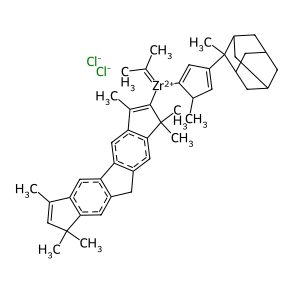 CC1=CC(C)(C)c2cc3c(cc21)-c1cc2c(cc1C3)C(C)(C)[C]([Zr+2]([C]1=CC(C3(C)C4CC5CC(C4)CC3C5)=CC1C)=[C](C)C)=C2C.[Cl-].[Cl-]